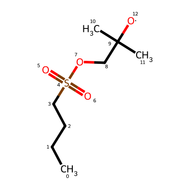 CCCCS(=O)(=O)OCC(C)(C)[O]